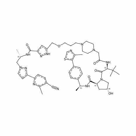 Cc1nc(-c2ccn(C[C@H](C)NC(=O)c3cc(COCCCN4CCN(CC(=O)N[C@H](C(=O)N5C[C@H](O)C[C@H]5C(=O)N[C@@H](C)c5ccc(-c6scnc6C)cc5)C(C)(C)C)CC4)[nH]n3)n2)ccc1C#N